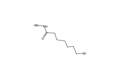 CCCCNC(=O)CCCCCCS